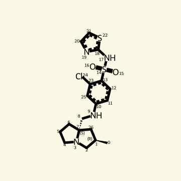 C[C@H]1CN2CCC[C@@]2(CNc2ccc(S(=O)(=O)Nc3nccs3)c(Cl)c2)C1